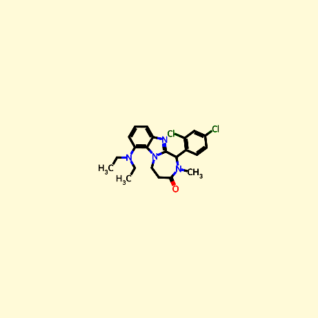 CCN(CC)c1cccc2nc3n(c12)CCC(=O)N(C)C3c1ccc(Cl)cc1Cl